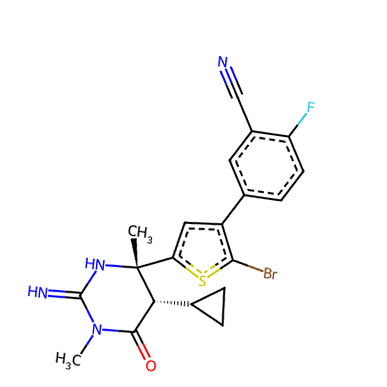 CN1C(=N)N[C@](C)(c2cc(-c3ccc(F)c(C#N)c3)c(Br)s2)[C@H](C2CC2)C1=O